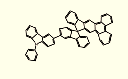 c1ccc(-n2c3ccccc3c3cc(-c4ccc5c(c4)-c4ccccc4C54c5ccccc5-c5cc6c7ccccc7c7ccccc7c6cc54)ccc32)cc1